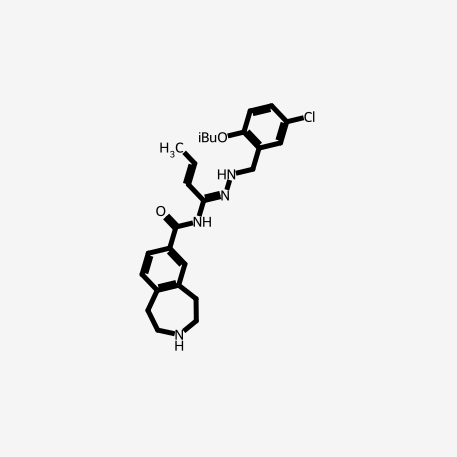 C/C=C/C(=N\NCc1cc(Cl)ccc1OCC(C)C)NC(=O)c1ccc2c(c1)CCNCC2